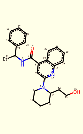 CCC(NC(=O)c1cc(N2CCCCC2CCO)nc2ccccc12)c1ccccc1